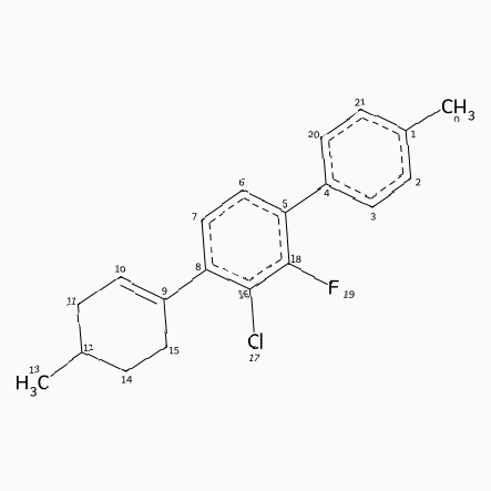 Cc1ccc(-c2ccc(C3=CCC(C)CC3)c(Cl)c2F)cc1